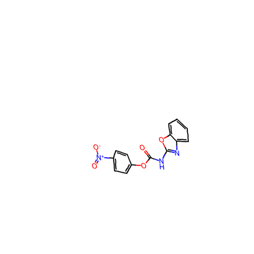 O=C(Nc1nc2ccccc2o1)Oc1ccc([N+](=O)[O-])cc1